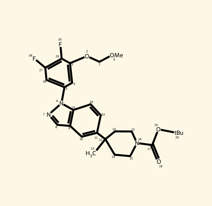 COCOc1cc(-n2ncc3cc(C4(C)CCN(C(=O)OC(C)(C)C)CC4)ccc32)cc(F)c1F